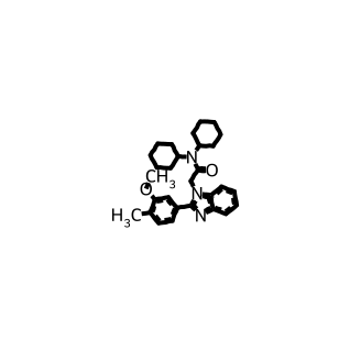 COc1cc(-c2nc3ccccc3n2CC(=O)N(C2CCCCC2)C2CCCCC2)ccc1C